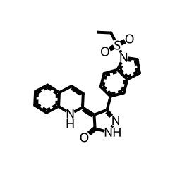 CCS(=O)(=O)n1ccc2cc(C3=NNC(=O)/C3=C3/C=Cc4ccccc4N3)ccc21